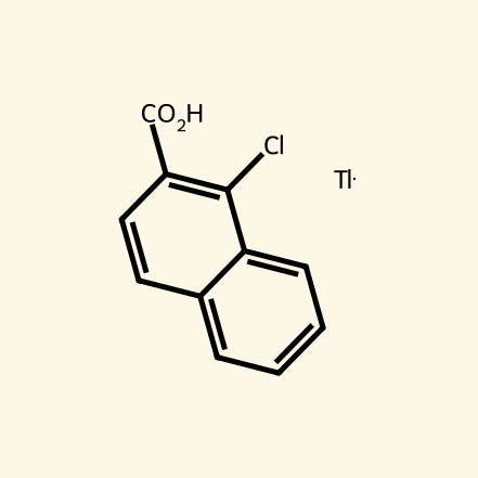 O=C(O)c1ccc2ccccc2c1Cl.[Tl]